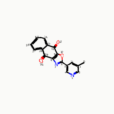 Cc1cncc(-c2nc3c(o2)C(=O)c2ccccc2C3=O)c1